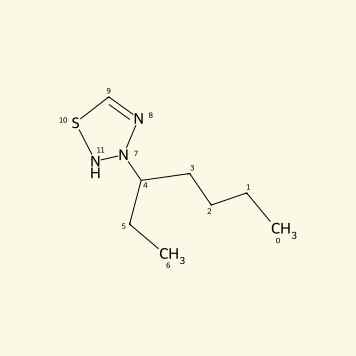 CCCCC(CC)N1N=CSN1